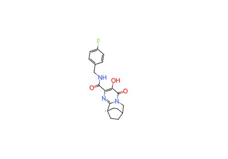 O=C(NCc1ccc(F)cc1)c1nc2n(c(=O)c1O)CC1CC[C]2CC1